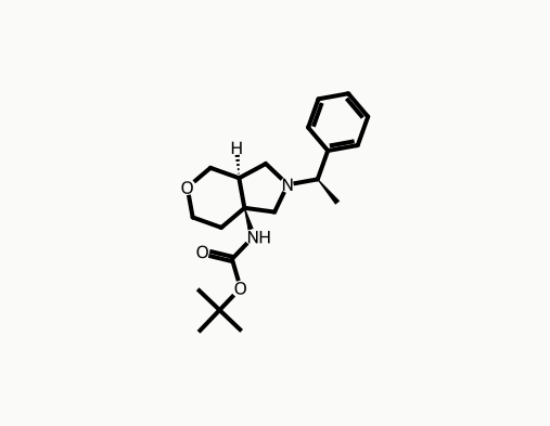 C[C@H](c1ccccc1)N1C[C@@H]2COCC[C@@]2(NC(=O)OC(C)(C)C)C1